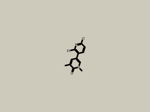 CCc1nc(Cl)ccc1-c1cc(C)c(=O)n(C)c1